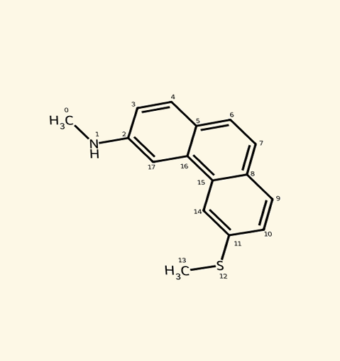 CNc1ccc2ccc3ccc(SC)cc3c2c1